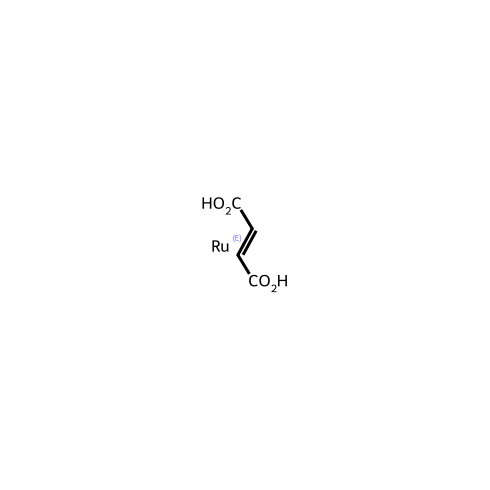 O=C(O)/C=C/C(=O)O.[Ru]